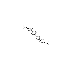 CCC(C)(CCCC(C)C)c1ccc(-c2ccc(C(C)(CC)CCCC(C)C)cc2)cc1